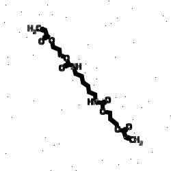 C=CC(=O)OCCCOC(=O)NCCCCCCNC(=O)OCCCOC(=O)C=C